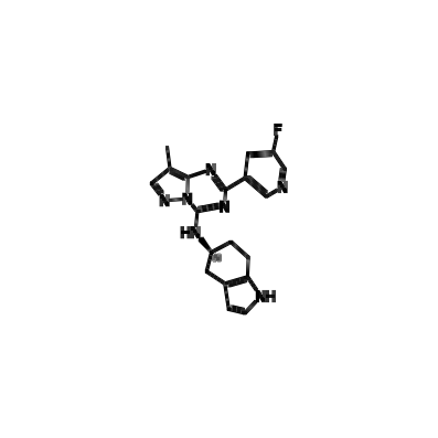 Cc1cnn2c(N[C@H]3CCc4[nH]ccc4C3)nc(-c3cncc(F)c3)nc12